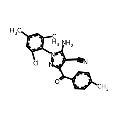 Cc1ccc(C(=O)c2nn(-c3c(C)cc(C)cc3Cl)c(N)c2C#N)cc1